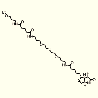 CCOCCCNC(=O)CCCC(=O)NCCCOCCOCCOCCCNC(=O)CCCC[C@@H]1SC[C@@H]2NC(=O)N[C@@H]21